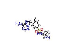 Cc1ccc(S(=O)(=O)NC23CNCC(C2)C3)cc1-c1cnc2c(N)ncnn12